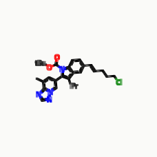 Cc1cc(-c2c(C(C)C)c3cc(C=CCCCCl)ccc3n2C(=O)OC(C)(C)C)cn2ncnc12